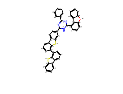 c1ccc(C2=NC(c3ccc4c(c3)sc3c(-c5cccc6c5sc5ccccc56)cccc34)NC(c3cccc4oc5ccccc5c34)N2)cc1